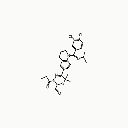 CCC(=O)N1N=C(c2ccc3c(c2)CCCN3C(=NC(C)C)c2ccc(Cl)c(Cl)c2)C(C)(C)SC1C=O